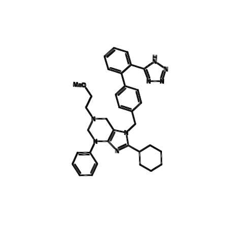 COCCN1Cc2c(nc(C3CCCCC3)n2Cc2ccc(-c3ccccc3-c3nnn[nH]3)cc2)N(c2ccccc2)C1